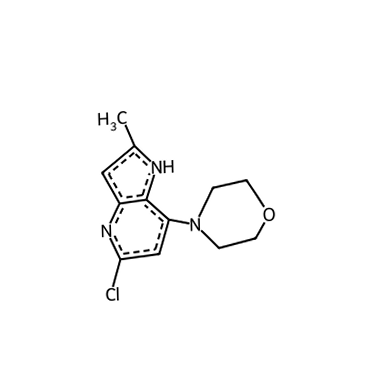 Cc1cc2nc(Cl)cc(N3CCOCC3)c2[nH]1